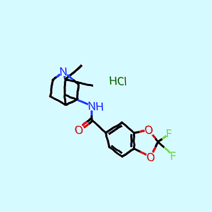 CC1(C)C(NC(=O)c2ccc3c(c2)OC(F)(F)O3)C2CCN1CC2.Cl